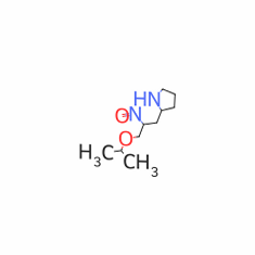 CC(C)OCC(CC1CCCN1)N=O